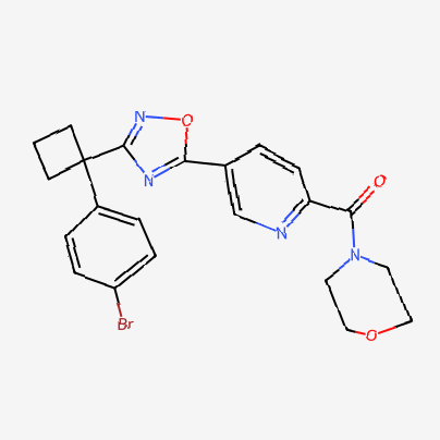 O=C(c1ccc(-c2nc(C3(c4ccc(Br)cc4)CCC3)no2)cn1)N1CCOCC1